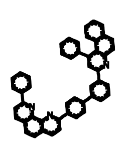 c1ccc(-c2ccc3ccc4ccc(-c5ccc(-c6cccc(-c7cc(-c8ccccc8)c8c(ccc9ccccc98)n7)c6)cc5)nc4c3n2)cc1